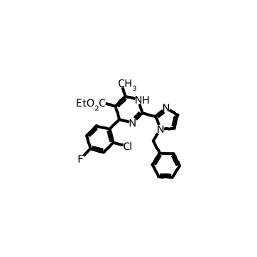 CCOC(=O)C1=C(C)NC(c2nccn2Cc2ccccc2)=NC1c1ccc(F)cc1Cl